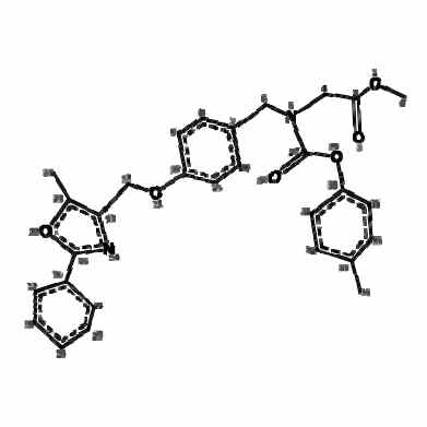 COC(=O)CN(Cc1ccc(OCc2nc(-c3ccccc3)oc2C)cc1)C(=O)Oc1ccc(C)cc1